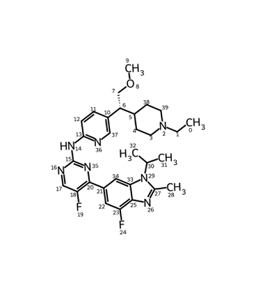 CCN1CCC([C@@H](COC)c2ccc(Nc3ncc(F)c(-c4cc(F)c5nc(C)n(C(C)C)c5c4)n3)nc2)CC1